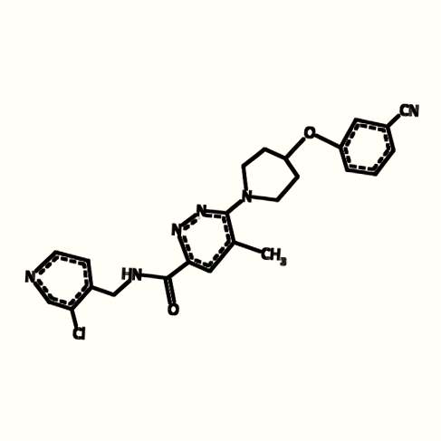 Cc1cc(C(=O)NCc2ccncc2Cl)nnc1N1CCC(Oc2cccc(C#N)c2)CC1